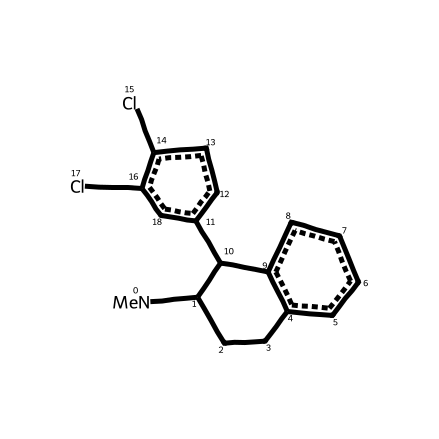 CNC1CCc2ccccc2C1c1ccc(Cl)c(Cl)c1